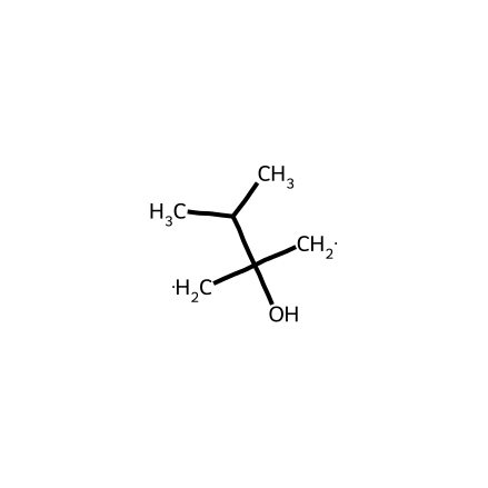 [CH2]C([CH2])(O)C(C)C